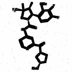 COc1c([C@H]2[C@H](C(=O)Nc3ccnc(C(=O)N4CC[C@H](OC)C4)c3)O[C@@](C)(C(F)(F)F)[C@H]2C)ccc(F)c1F